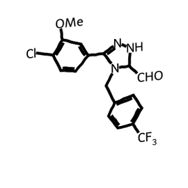 COc1cc(C2=NNC(C=O)N2Cc2ccc(C(F)(F)F)cc2)ccc1Cl